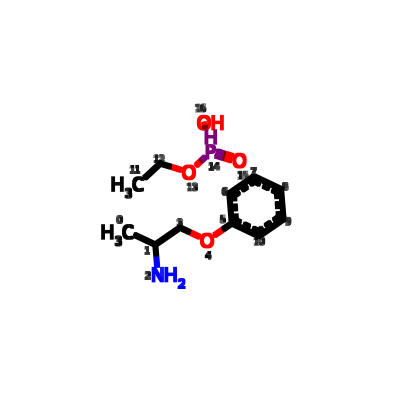 CC(N)COc1ccccc1.CCO[PH](=O)O